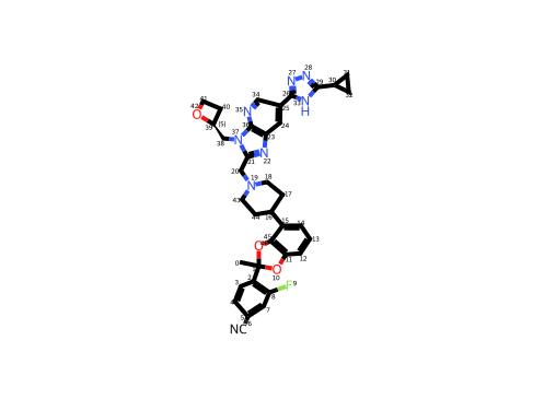 CC1(c2ccc(C#N)cc2F)Oc2cccc(C3CCN(Cc4nc5cc(-c6nnc(C7CC7)[nH]6)cnc5n4C[C@@H]4CCO4)CC3)c2O1